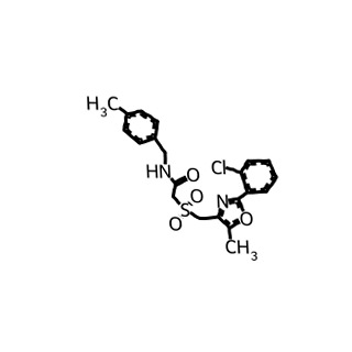 Cc1ccc(CNC(=O)CS(=O)(=O)Cc2nc(-c3ccccc3Cl)oc2C)cc1